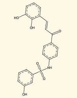 O=C(C=Cc1cccc(O)c1O)c1ccc(NS(=O)(=O)c2cccc(O)c2)cc1